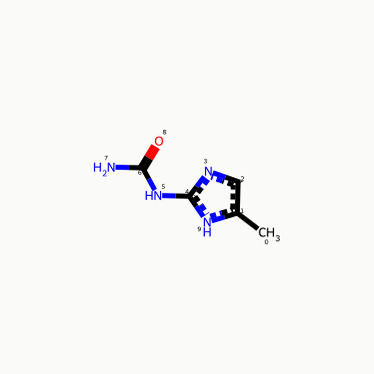 Cc1[c]nc(NC(N)=O)[nH]1